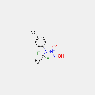 N#Cc1ccc(N(/[N+]([O-])=N/O)C(F)(F)C(F)(F)F)cc1